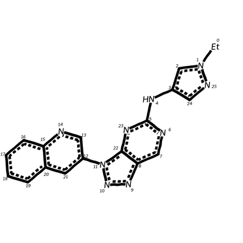 CCn1cc(Nc2ncc3nnn(-c4cnc5ccccc5c4)c3n2)cn1